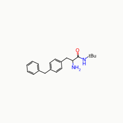 CC(C)(C)NC(=O)C(N)Cc1ccc(Cc2ccccc2)cc1